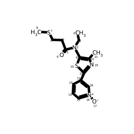 CCN(C(=O)CCSC)c1sc(-c2ccc[n+]([O-])c2)nc1C